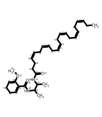 CC/C=C\C/C=C\C/C=C\C/C=C\C/C=C\C/C=C\CCC(=O)NC(C)C(C)NC(=O)C1=CCCC=C1OC